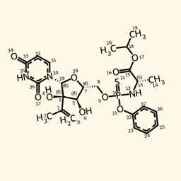 C=C(C)[C@@]1(O)[C@H](O)[C@@H](COP(=S)(N[C@@H](C)C(=O)OC(C)C)Oc2ccccc2)O[C@H]1n1ccc(=O)[nH]c1=O